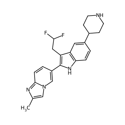 Cc1cn2cc(-c3[nH]c4ccc(C5CCNCC5)cc4c3CC(F)F)ccc2n1